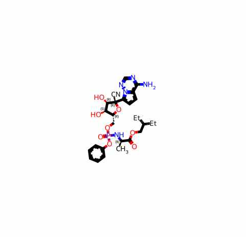 CCC(CC)COC(=O)[C@@H](C)NP(=O)(OC[C@H]1O[C@@](C#N)(c2ccc3c(N)ncnn23)[C@H](O)[C@@H]1O)Oc1ccccc1